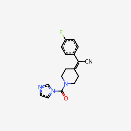 N#CC(=C1CCN(C(=O)n2ccnc2)CC1)c1ccc(F)cc1